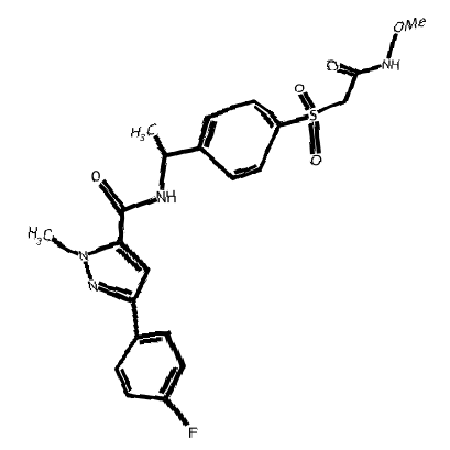 CONC(=O)CS(=O)(=O)c1ccc(C(C)NC(=O)c2cc(-c3ccc(F)cc3)nn2C)cc1